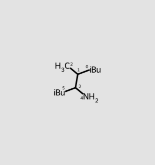 CCC(C)C(C)C(N)C(C)CC